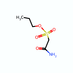 CCCOS(=O)(=O)CC(N)=O